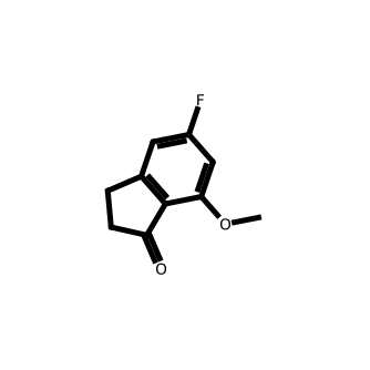 COc1cc(F)cc2c1C(=O)CC2